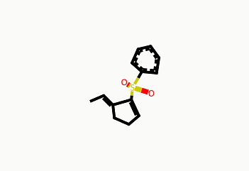 C/C=C1\CCC=C1S(=O)(=O)c1ccccc1